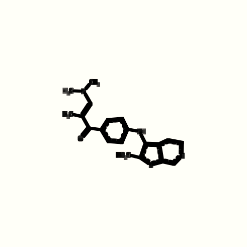 CC(=CN(C)C)C(=O)c1ccc(Nc2c(C(=O)O)sc3cnccc23)cc1